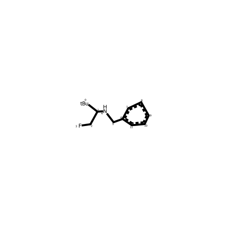 CC(C)(C)C(CF)NCc1ccccc1